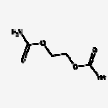 CCCC(=O)OCCOC(N)=O